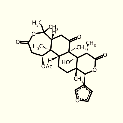 CC(=O)O[C@H]1CC(=O)OC(C)(C)[C@@H]2CC(=O)[C@]3(C)[C@H](CC[C@@]4(C)[C@H](c5ccoc5)OC(=O)[C@@H](C)[C@@]43O)[C@@]12C